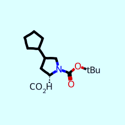 CC(C)(C)OC(=O)N1CC(C2CCCC2)C[C@H]1C(=O)O